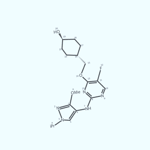 COc1nn(C(C)C)cc1Nc1ncc(F)c(OC[C@H]2CC[C@H](O)CC2)n1